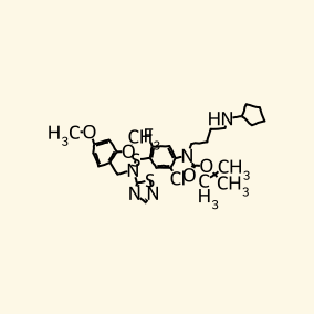 COc1ccc(CN(Sc2cc(Cl)c(N(CCCCNC3CCCC3)C(=O)OC(C)(C)C)cc2F)c2ncns2)c(OC)c1